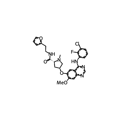 COc1cc2ncnc(Nc3cccc(Cl)c3F)c2cc1O[C@H]1C[C@H](C(=O)NCCc2ccco2)N(C)C1